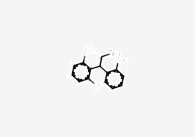 CCCCc1ccccc1C(c1c(F)cccc1CC)[C@H](CCC)CCCC